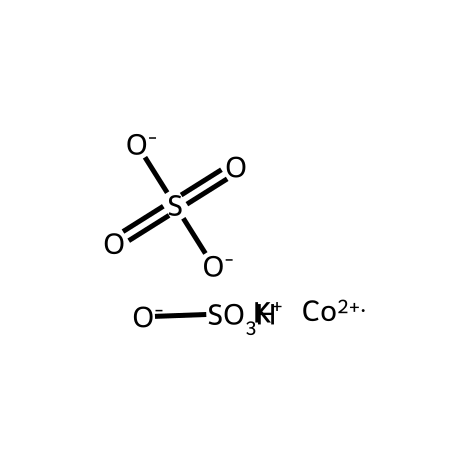 O=S(=O)([O-])O.O=S(=O)([O-])[O-].[Co+2].[K+]